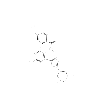 COc1ccc(C(=O)NCc2nc(N3C[C@@H](C)O[C@@H](C)C3)sc2-c2cc(C)nc(C)c2)cc1